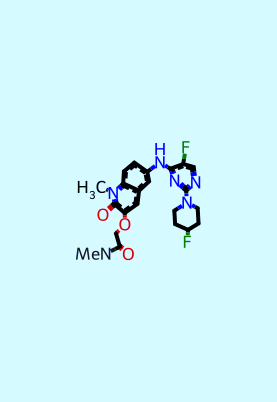 CNC(=O)COc1cc2cc(Nc3nc(N4CCC(F)CC4)ncc3F)ccc2n(C)c1=O